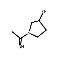 CC(=N)N1CCC([O])C1